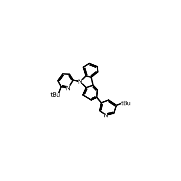 CC(C)(C)c1cncc(-c2ccc3c(c2)c2ccccc2n3-c2cccc(C(C)(C)C)n2)c1